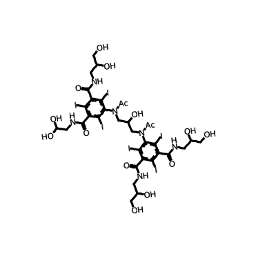 CC(=O)N(CC(O)CN(C(C)=O)c1c(I)c(C(=O)NCC(O)CO)c(I)c(C(=O)NCC(O)CO)c1I)c1c(I)c(C(=O)NCC(O)O)c(I)c(C(=O)NCC(O)CO)c1I